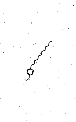 CCCCCCCCCCCCc1ccc(OS)cc1